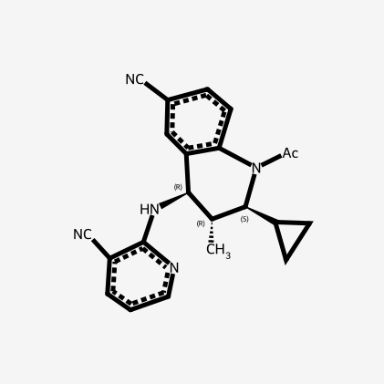 CC(=O)N1c2ccc(C#N)cc2[C@H](Nc2ncccc2C#N)[C@@H](C)[C@@H]1C1CC1